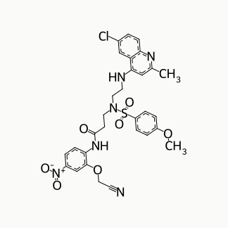 COc1ccc(S(=O)(=O)N(CCNc2cc(C)nc3ccc(Cl)cc23)CCC(=O)Nc2ccc([N+](=O)[O-])cc2OCC#N)cc1